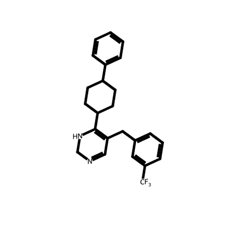 FC(F)(F)c1cccc(CC2=C(C3CCC(c4ccccc4)CC3)NCN=C2)c1